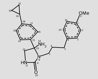 COc1ccc(CCCN2C(=O)NCC2(N)c2ccc(C3CC3)cc2)cc1